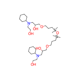 C[Si](C)(CCCOCC(O)CN(CCO)C1CCCCC1)O[Si](C)(C)CCCOCC(O)CN(CCO)C1CCCCC1